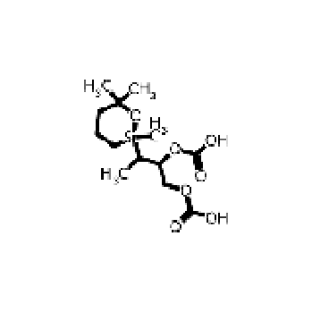 CC(C(COC(=O)O)OC(=O)O)[Si]1(C)CCCC(C)(C)O1